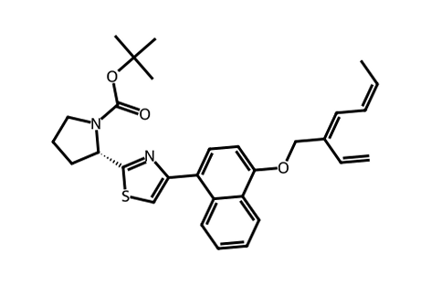 C=C/C(=C\C=C/C)COc1ccc(-c2csc([C@@H]3CCCN3C(=O)OC(C)(C)C)n2)c2ccccc12